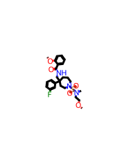 COCCN(C)S(=O)(=O)N1CCCC(CNC(=O)c2ccccc2OC)(c2cccc(F)c2)CC1